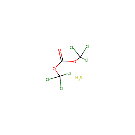 O=C(OC(Cl)(Cl)Cl)OC(Cl)(Cl)Cl.S